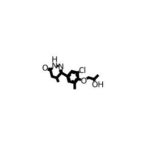 Cc1cc(C2=NNC(=O)CC2C)cc(Cl)c1OCC(C)O